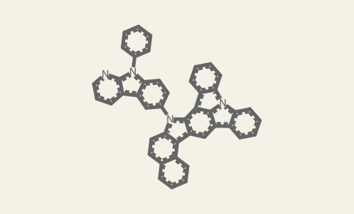 c1ccc(-n2c3ccc(-n4c5ccc6ccccc6c5c5cc6c7ccccc7n7c8ccccc8c(c54)c67)cc3c3cccnc32)cc1